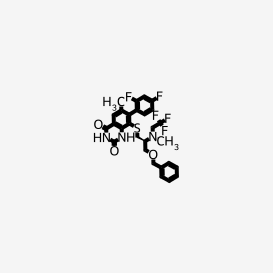 Cc1cc2c(=O)[nH]c(=O)[nH]c2c(SC[C@H](COCc2ccccc2)N(C)CC(F)(F)F)c1-c1ccc(F)cc1F